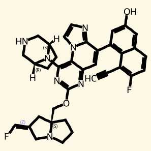 C#Cc1c(F)ccc2cc(O)cc(-c3cc4nc(OC[C@@]56CCCN5C/C(=C\F)C6)nc(N5[C@@H]6CC[C@H]5CNC6)c4n4ccnc34)c12